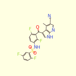 Cc1c(C#N)cnc2[nH]cc(C(=O)c3c(F)ccc(NS(=O)(=O)c4cc(F)ccc4F)c3F)c12